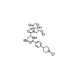 CCOC1CN(C(=O)C(CC(C)(C)C)NC(=O)c2ccc(C3CCN(C4CC4)CC3)cc2)[C@@H]2C(=O)CO[C@H]12